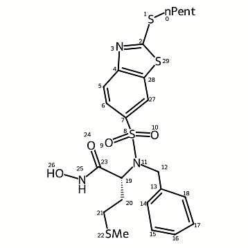 CCCCCSc1nc2ccc(S(=O)(=O)N(Cc3ccccc3)[C@H](CCSC)C(=O)NO)cc2s1